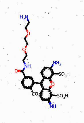 N=c1ccc2c(-c3cc(C(=O)NCCOCCOCCN)ccc3C(=O)O)c3ccc(N)c(S(=O)(=O)O)c3oc-2c1S(=O)(=O)O